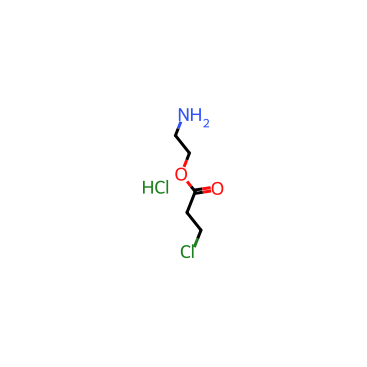 Cl.NCCOC(=O)CCCl